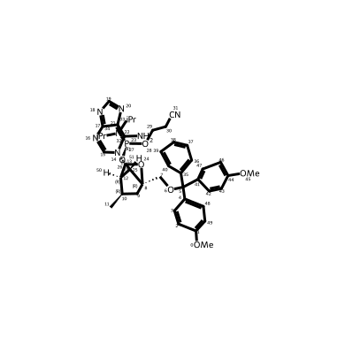 COc1ccc(C(OC[C@@]23C[C@@H](C)[C@@H]([C@H](n4cnc5ncnc-5c4N)O2)[C@@H]3O[P@](OCCC#N)N(C(C)C)C(C)C)(c2ccccc2)c2ccc(OC)cc2)cc1